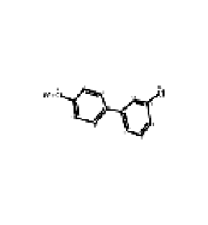 COc1ccc(-c2cccc(Cl)c2)cc1